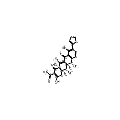 C[C@H]1c2ccc(C3=CCCC3)c(O)c2C(=O)C2=C(O)[C@]3(O)C(=O)C(C(N)=O)=C(O)C[C@@H]3[C@@H](O)[C@@H]21